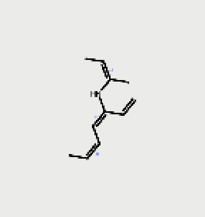 C=C/C(=C\C=C/C)N/C(C)=C\C